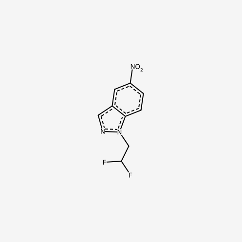 O=[N+]([O-])c1ccc2c(cnn2CC(F)F)c1